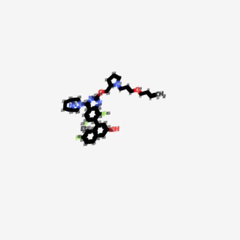 C=CCCOCCCN1CCCC1COc1nc(N2CC3CCC(C2)N3)c2cc(F)c(-c3cc(O)cc4ccc(F)c(CC)c34)c(F)c2n1